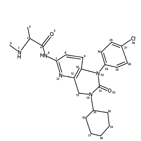 CNC(C)C(=O)Nc1ccc2c(n1)CN(C1CCCCC1)C(=O)N2c1ccc(Cl)cc1